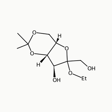 CCOC1(CO)O[C@H]2COC(C)(C)O[C@H]2[C@@H]1O